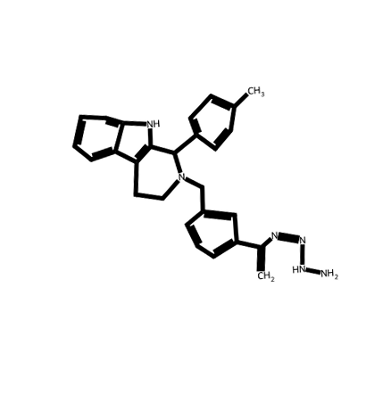 C=C(/N=N\NN)c1cccc(CN2CCc3c([nH]c4ccccc34)C2c2ccc(C)cc2)c1